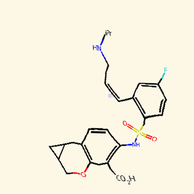 CC(C)NC/C=C\c1cc(F)ccc1S(=O)(=O)Nc1ccc2c(c1C(=O)O)OCC1CC21